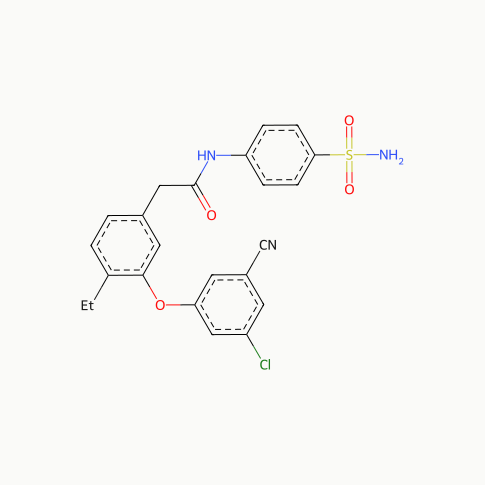 CCc1ccc(CC(=O)Nc2ccc(S(N)(=O)=O)cc2)cc1Oc1cc(Cl)cc(C#N)c1